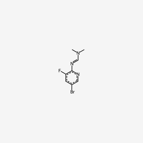 CN(C)/C=N/c1ncc(Br)cc1F